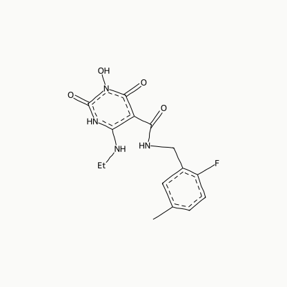 CCNc1[nH]c(=O)n(O)c(=O)c1C(=O)NCc1cc(C)ccc1F